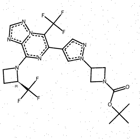 CC(C)(C)OC(=O)N1CC(n2cc(-c3nc(N4CC[C@@H]4C(F)(F)F)c4ncnn4c3C(F)(F)F)cn2)C1